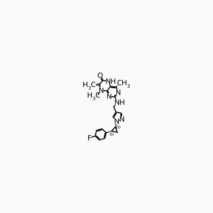 Cc1nc(NCc2cnn([C@H]3C[C@H]3c3ccc(F)cc3)c2)nc2c1NC(=O)[C@H](C)N2C